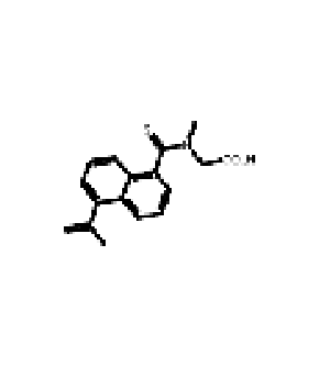 C=C(C)c1cccc2c(C(=S)N(C)CC(=O)O)cccc12